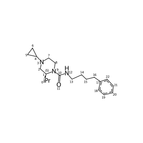 CC(C)[C@H]1CN(C2CC2)CCN1C(=O)NCCCCc1ccccc1